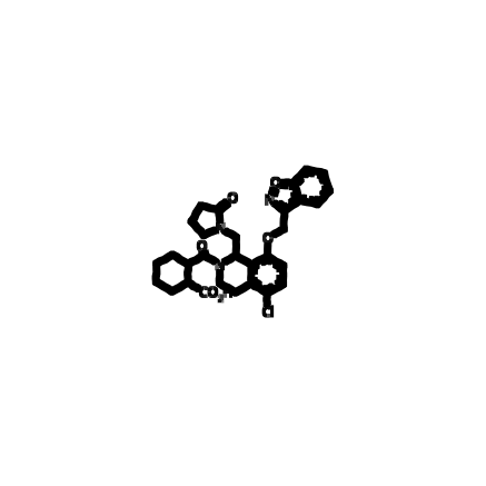 O=C(O)C1CCCCC1C(=O)N1CCc2c(Cl)ccc(OCc3noc4ccccc34)c2C1CN1CCCC1=O